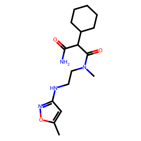 Cc1cc(NCCN(C)C(=O)C(C(N)=O)C2CCCCC2)no1